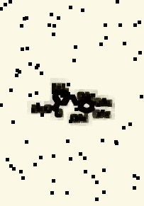 COC(=O)c1cc(N)cc(CC[C@]2(OC(C)=O)C[C@@H](OC(C)=O)[C@@H](OC(C)=O)[C@H](OC(C)=O)C2)c1